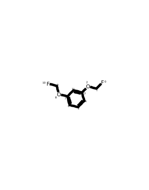 FCOc1cccc(OCF)c1